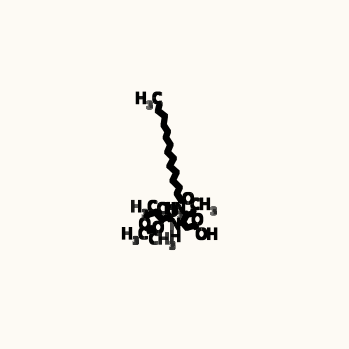 CCCCCCCCCCCCCCCC(=O)NC(CC)C(CC(=O)O)NC(=O)C1OC(C)(C)OCC1(C)C